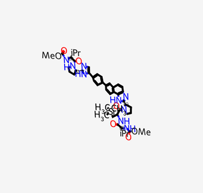 COC(=O)N[C@H](C(=O)N1CCC[C@H]1c1ncc(-c2ccc(-c3ccc4c(ccc5nc([C@@H]6CCCN6C(=O)C(C[Si](C)(C)C)NC(=O)[C@H](NC(=O)OC)C(C)C)[nH]c54)c3)cc2)[nH]1)C(C)C